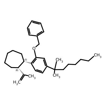 C=C(C)[C@@H]1CCC[CH]C[C@@H]1c1ccc(C(C)(C)CCCCCC)cc1OCc1ccccc1